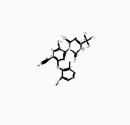 CCc1cccc(C)c1Oc1cc(-n2c(=O)cc(C(F)(F)F)[nH]c2=O)c(F)cc1C#N